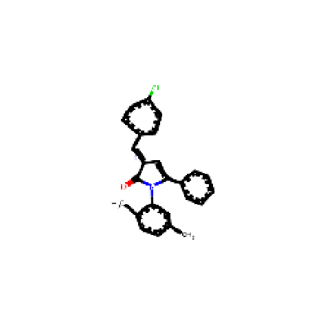 Cc1ccc(C)c(N2C(=O)/C(=C/c3ccc(Cl)cc3)C=C2c2ccccc2)c1